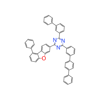 c1ccc(-c2ccc(-c3cccc(-c4nc(-c5cccc(-c6ccccc6)c5)nc(-c5ccc6c(c5)oc5cccc(-c7ccccc7)c56)n4)c3)cc2)cc1